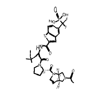 CC(=O)N1C[C@@H]2CCN(C(=O)[C@@H]3CCCN3C(=O)C(NC(=O)c3cc4cc(C(F)(F)P(=O)(O)O)ccc4s3)C(C)(C)C)[C@@H]2C1